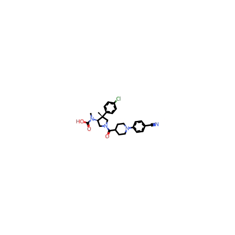 CN(C(=O)O)[C@@H]1CN(C(=O)C2CCN(c3ccc(C#N)cc3)CC2)C[C@@]1(C)c1ccc(Cl)cc1